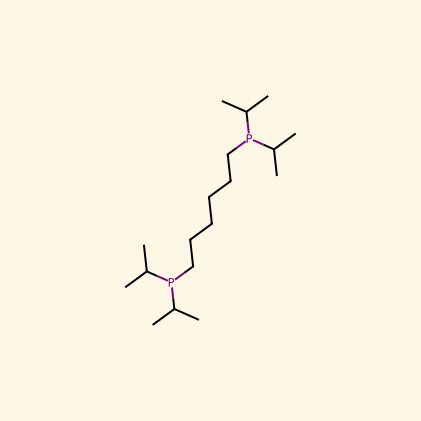 CC(C)P(CCCCCCP(C(C)C)C(C)C)C(C)C